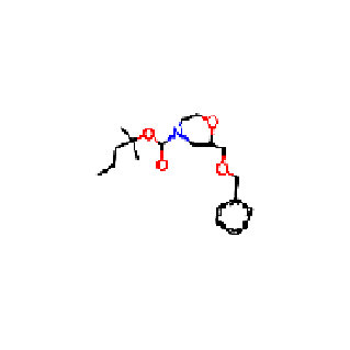 CCCC(C)(C)OC(=O)N1CCOC(COCc2ccccc2)C1